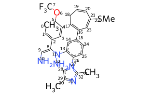 C/C=C(\C=C/COC(F)(F)F)C(=C/N)/N(N)c1cc(C2=CCC=CC(SC)=C2)ccc1-n1cc(C)nc1C